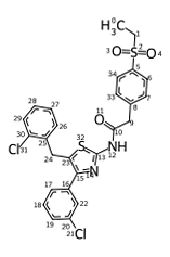 CCS(=O)(=O)c1ccc(CC(=O)Nc2nc(-c3cccc(Cl)c3)c(Cc3ccccc3Cl)s2)cc1